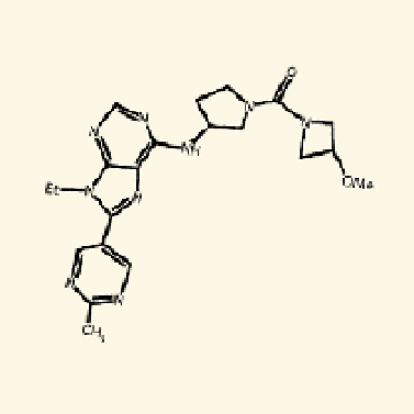 CCn1c(-c2cnc(C)nc2)nc2c(N[C@H]3CCN(C(=O)N4CC(OC)C4)C3)ncnc21